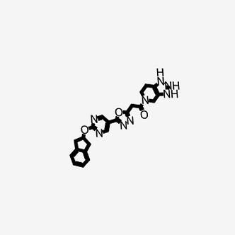 O=C(Cc1nnc(-c2cnc(OC3Cc4ccccc4C3)nc2)o1)N1CCC2=C(C1)NNN2